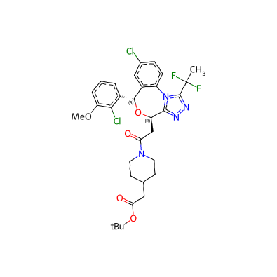 COc1cccc([C@H]2O[C@H](CC(=O)N3CCC(CC(=O)OC(C)(C)C)CC3)c3nnc(C(C)(F)F)n3-c3ccc(Cl)cc32)c1Cl